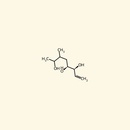 C=C[C@H](O)[C@@H](O)CC(C)C(C)O